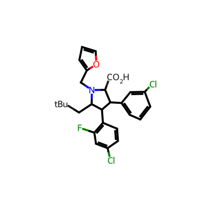 CC(C)(C)CC1C(c2ccc(Cl)cc2F)C(c2cccc(Cl)c2)C(C(=O)O)N1Cc1ccco1